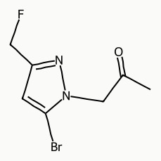 CC(=O)Cn1nc(CF)cc1Br